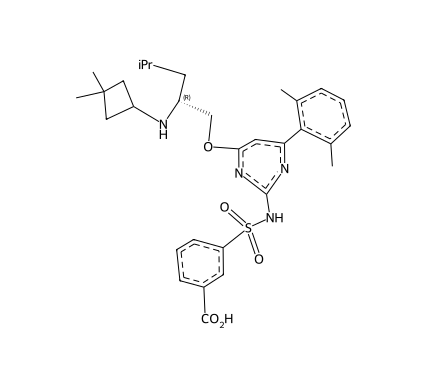 Cc1cccc(C)c1-c1cc(OC[C@@H](CC(C)C)NC2CC(C)(C)C2)nc(NS(=O)(=O)c2cccc(C(=O)O)c2)n1